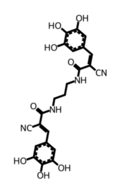 N#CC(=Cc1cc(O)c(O)c(O)c1)C(=O)NCCCNC(=O)C(C#N)=Cc1cc(O)c(O)c(O)c1